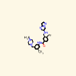 CC(C)c1ccc(C(=O)Nc2cc(CN3CCN(C)CC3)cc(C(F)(F)F)c2)cc1CNc1cnc2ccnn2c1